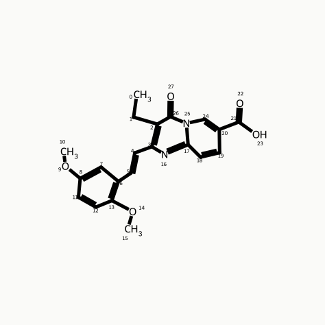 CCc1c(/C=C/c2cc(OC)ccc2OC)nc2ccc(C(=O)O)cn2c1=O